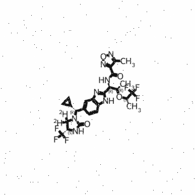 [2H]C1([2H])[C@@H](C(F)(F)F)NC(=O)N1[C@@H](c1ccc2[nH]c([C@@H](NC(=O)c3nonc3C)[C@@H](C)O[C@@H](C)C(F)(F)F)nc2c1)C1CC1